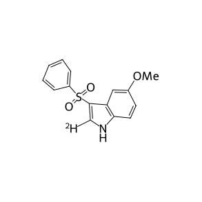 [2H]c1[nH]c2ccc(OC)cc2c1S(=O)(=O)c1ccccc1